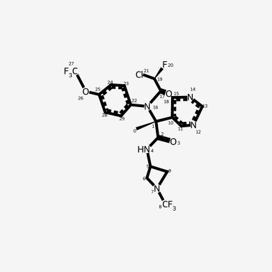 C[C@](C(=O)NC1CN(C(F)(F)F)C1)(c1cncnc1)N(C(=O)[C@H](F)Cl)c1ccc(OC(F)(F)F)cc1